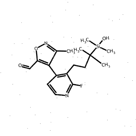 Cc1noc(C=O)c1-c1ccnc(F)c1CCC(C)(C)[Si](C)(C)O